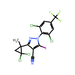 CC1(c2nn(-c3c(Cl)cc(C(F)(F)F)cc3Cl)c(I)c2C#N)CC1(Cl)Cl